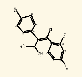 CC(O)/C(=C(/Cl)c1ccc(Cl)cc1Cl)c1ccc(Cl)cc1